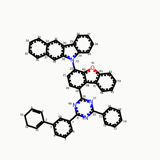 C1=CC(c2cccc(-c3nc(-c4ccccc4)nc(-c4ccc(-n5c6ccccc6c6cc7ccccc7cc65)c5oc6ccccc6c45)n3)c2)=CCC1